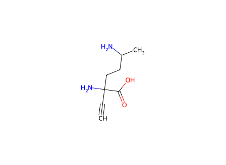 C#CC(N)(CCC(C)N)C(=O)O